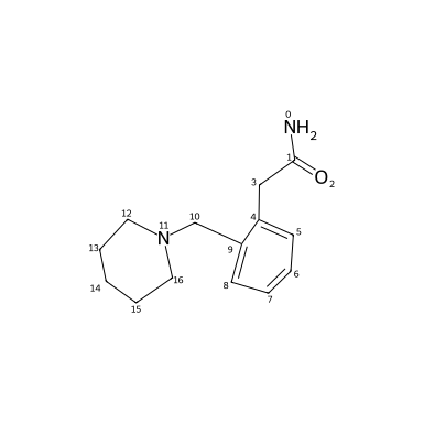 NC(=O)Cc1ccccc1CN1CCCCC1